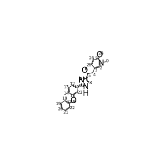 Cn1cc(CC(=O)c2c[nH]c(-c3cccc(Oc4ccccc4)c3)n2)ccc1=O